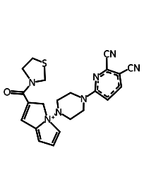 N#Cc1ccc(N2CCN([N@@+]34C=CC=C3C=C(C(=O)N3CCSC3)C4)CC2)nc1C#N